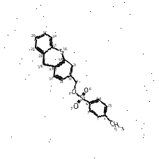 Cc1ccc(S(=O)(=O)OCc2ccc3c(c2)Sc2ccccc2C3)cc1